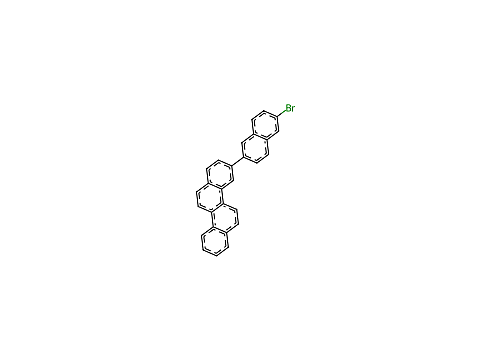 Brc1ccc2cc(-c3ccc4ccc5c6ccccc6ccc5c4c3)ccc2c1